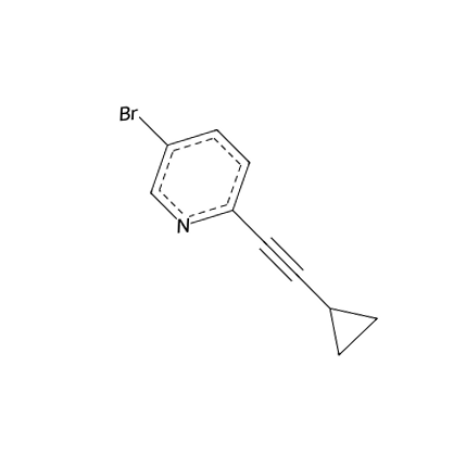 Brc1ccc(C#CC2CC2)nc1